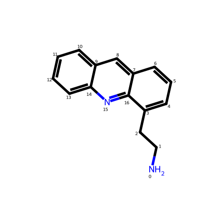 NCCc1cccc2cc3ccccc3nc12